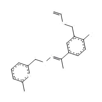 C/C(=N\OCc1cccc(C)n1)c1ccc(Cl)c(CNC=O)c1